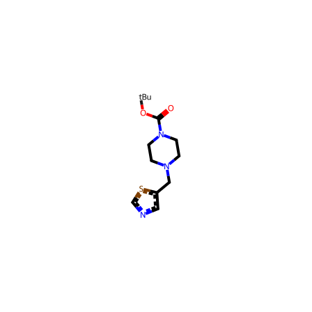 CC(C)(C)OC(=O)N1CCN(Cc2cncs2)CC1